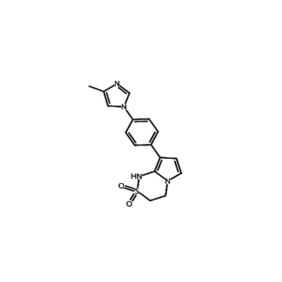 Cc1cn(-c2ccc(-c3ccn4c3NS(=O)(=O)CC4)cc2)cn1